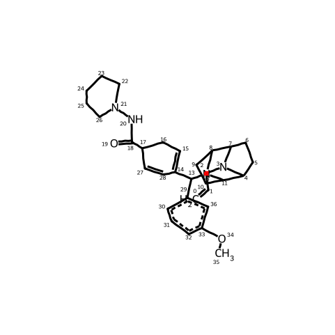 C=CCN1C2CCC1C1CCC2N1C(C1=CCC(C(=O)NN2CCCCC2)C=C1)c1cccc(OC)c1